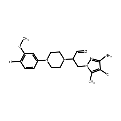 COc1cc(N2CCN(C(C=O)Cn3nc(N)c(Cl)c3C)CC2)ccc1Cl